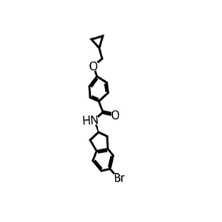 O=C(N[C@@H]1Cc2ccc(Br)cc2C1)c1ccc(OCC2CC2)cc1